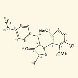 COc1ccc(Cl)c(OC)c1C1CC(F)C(=O)N1Cc1ccc(OC(F)(F)F)cc1